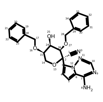 N#C[C@]1(c2ccc3c(N)ncnn23)OC[C@@H](OCc2ccccc2)[C@@H](O)[C@H]1OCc1ccccc1